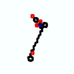 COc1ccc(S(=O)(=O)n2cc(/C=C/CCCCCCCCCCOCc3ccccc3)c3ccccc32)cc1